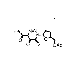 CCCC(=O)C1N=NN(C2[CH][CH]C(COC(C)=O)O2)C(=O)C1=O